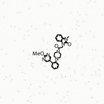 COc1ncc(-c2ccccc2N2CCN(C(=O)Cn3c(=O)n(C)c4ccccc43)CC2)cn1